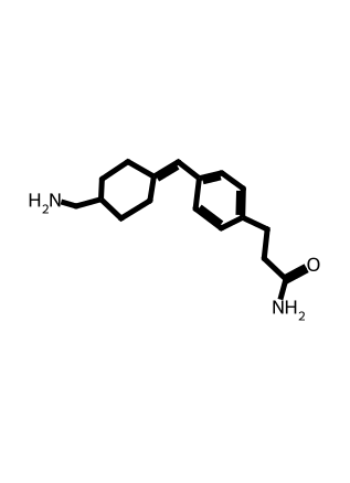 NCC1CCC(=Cc2ccc(CCC(N)=O)cc2)CC1